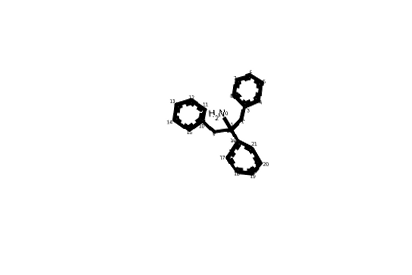 NC(Cc1ccccc1)(Cc1ccccc1)c1cc[c]cc1